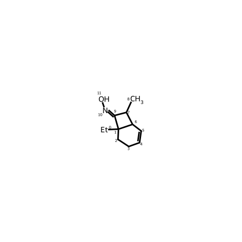 CCC12CCC=CC1C(C)C2=NO